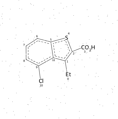 CCc1c(C(=O)O)sc2cccc(Cl)c12